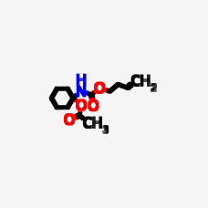 C=CCCOC(=O)NC1(OC(C)=O)CCCCC1